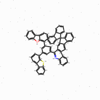 c1ccc2c(c1)-c1ccccc1C21c2ccccc2-c2cc3c(cc21)c(-c1cc(-c2cccc4c2oc2ccccc24)cc(-c2cccc4c2sc2ccccc24)c1)nc1ccccc13